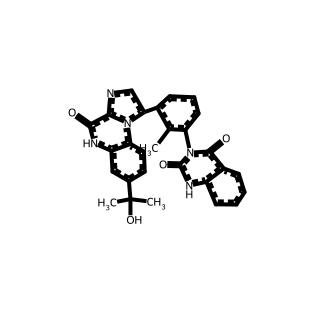 Cc1c(-c2cnc3c(=O)[nH]c4cc(C(C)(C)O)ccc4n23)cccc1-n1c(=O)[nH]c2ccccc2c1=O